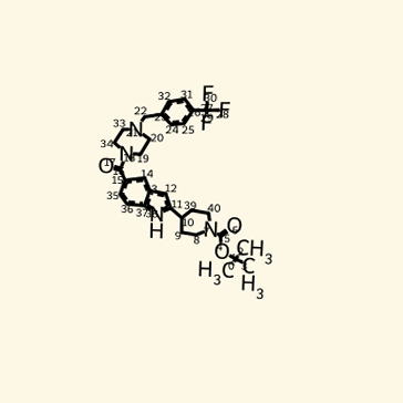 CC(C)(C)OC(=O)N1CCC(c2cc3cc(C(=O)N4CCN(Cc5ccc(C(F)(F)F)cc5)CC4)ccc3[nH]2)CC1